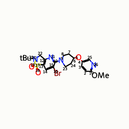 COc1ccc(OC2CCN(c3nc4c(cc3Br)S(=O)(=O)N(C(C)(C)C)C4)CC2)cn1